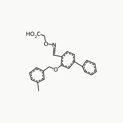 Cc1cccc(COc2cc(-c3ccccc3)ccc2/C=N/OCC(=O)O)c1